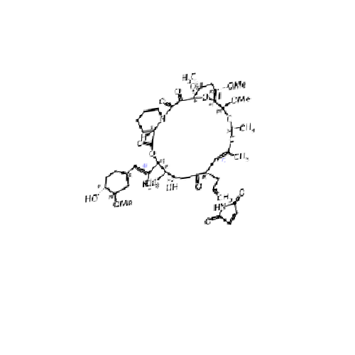 C=CC[C@@H]1/C=C(\C)C[C@H](C)C[C@H](OC)[C@H]2O[C@@](O)(C(=O)C(=O)N3CCCC[C@H]3C(=O)O[C@H](/C(C)=C/[C@@H]3CC[C@@H](O)[C@H](OC)C3)[C@H](C)[C@@H](O)CC1=O)[C@H](C)C[C@@H]2OC.O=C1C=CC(=O)N1